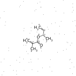 C=CC(C)OC(=O)C(=C)C